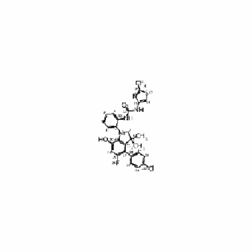 CC1(C)CN(c2ccccc2NC(=O)Nc2csc(C(F)(F)F)n2)c2c(O)cc(F)c(-c3ccc(Cl)cc3)c21